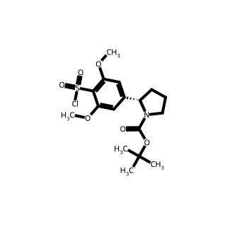 COc1cc([C@@H]2CCCN2C(=O)OC(C)(C)C)cc(OC)c1S(=O)(=O)Cl